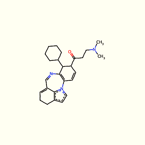 CN(C)CCC(=O)C1C=CC2=C(N=CC3=CCCc4ccn2c43)C1C1CCCCC1